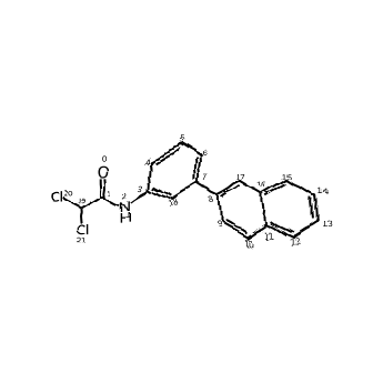 O=C(Nc1cccc(-c2ccc3ccccc3c2)c1)C(Cl)Cl